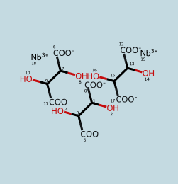 O=C([O-])C(O)C(O)C(=O)[O-].O=C([O-])C(O)C(O)C(=O)[O-].O=C([O-])C(O)C(O)C(=O)[O-].[Nb+3].[Nb+3]